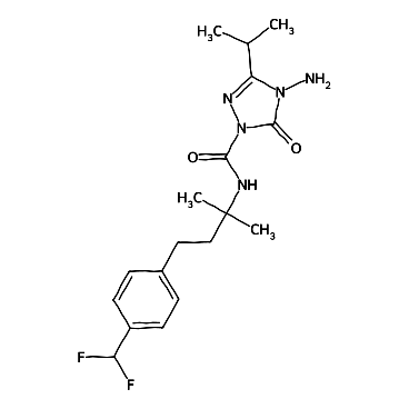 CC(C)c1nn(C(=O)NC(C)(C)CCc2ccc(C(F)F)cc2)c(=O)n1N